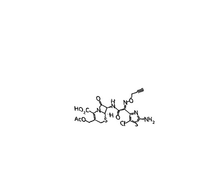 C#CCON=C(C(=O)N[C@@H]1C(=O)N2C(C(=O)O)=C(COC(C)=O)CS[C@H]12)c1nc(N)sc1Cl